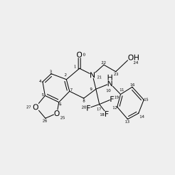 O=C1c2ccc3c(c2CC(Nc2ccccc2)(C(F)(F)F)N1CCO)OCO3